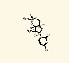 COP1(=O)OC[C@H]2O[C@@H](n3ccc(N)nc3=O)[C@](C)(C#N)[C@@H]2O1